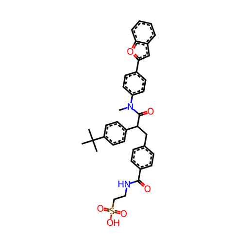 CN(C(=O)C(Cc1ccc(C(=O)NCCS(=O)(=O)O)cc1)c1ccc(C(C)(C)C)cc1)c1ccc(-c2cc3ccccc3o2)cc1